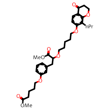 CCCc1c(OCCCCCOC(Cc2cccc(OCCCCC(=O)OC)c2)C(=O)OC)ccc2c1OCCC2=O